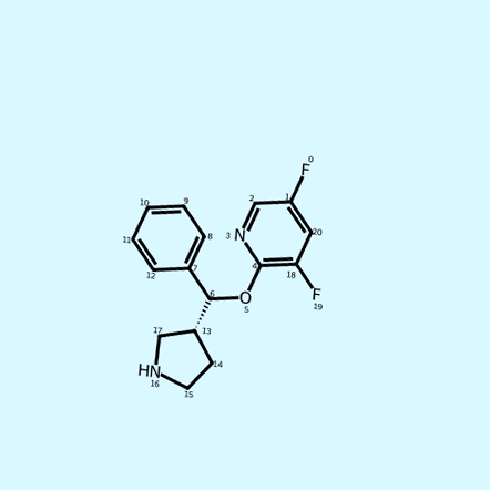 Fc1cnc(OC(c2ccccc2)[C@@H]2CCNC2)c(F)c1